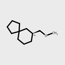 COC[C@H]1CCCC2(CCCC2)C1